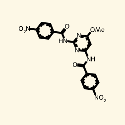 COc1cc(NC(=O)c2ccc([N+](=O)[O-])cc2)nc(NC(=O)c2ccc([N+](=O)[O-])cc2)n1